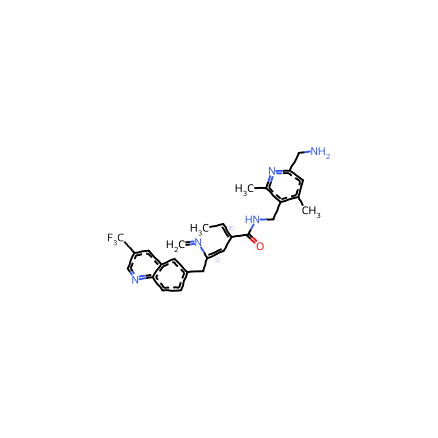 C=N/C(=C\C(=C/C)C(=O)NCc1c(C)cc(CN)nc1C)Cc1ccc2ncc(C(F)(F)F)cc2c1